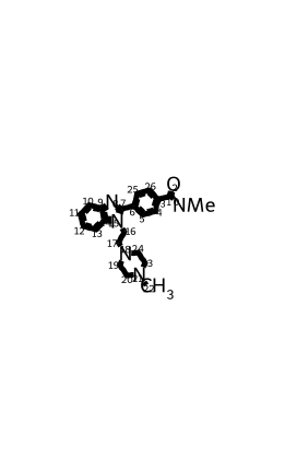 CNC(=O)c1ccc(-c2nc3ccccc3n2CCN2CCN(C)CC2)cc1